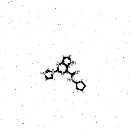 O=C(NC1CCCC1)c1nc(-n2ccnc2)nc2cc[nH]c12